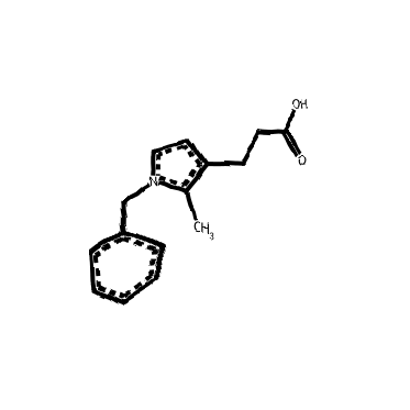 Cc1c(CCC(=O)O)ccn1Cc1ccccc1